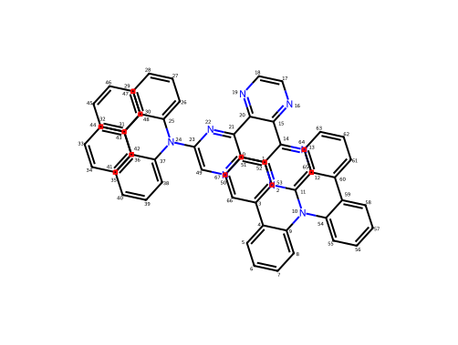 c1ccc(-c2ccccc2N(c2cnc3c4nccnc4c4nc(N(c5ccccc5-c5ccccc5)c5ccccc5-c5ccccc5)cnc4c3n2)c2ccccc2-c2ccccc2)cc1